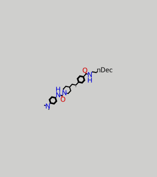 CCCCCCCCCCCCNC(=O)c1ccc([CH]CC2CCN(C(=O)Nc3ccc(N(C)C)cc3)CC2)cc1